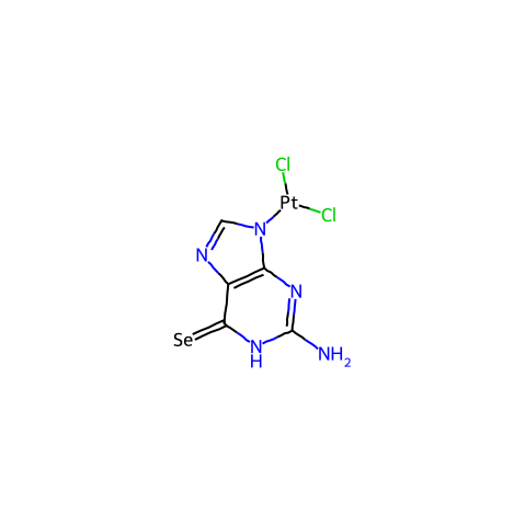 Nc1nc2c(nc[n]2[Pt]([Cl])[Cl])c(=[Se])[nH]1